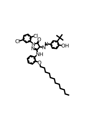 CCCCCCCCCCCCOc1ccccc1NC1=NN(c2cc(Cl)ccc2Cl)C(=O)C1/N=N/c1ccc(O)c(C(C)(C)C)c1